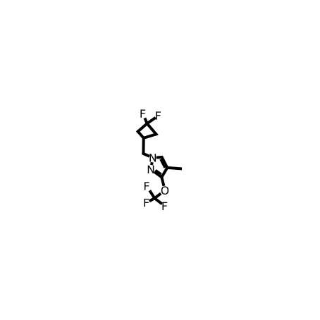 Cc1cn(CC2CC(F)(F)C2)nc1OC(F)(F)F